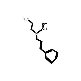 CCC[SiH]N(CC=Cc1ccccc1)CCN